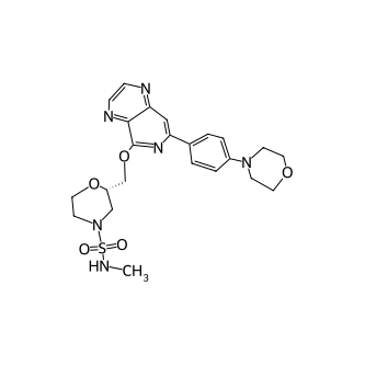 CNS(=O)(=O)N1CCO[C@H](COc2nc(-c3ccc(N4CCOCC4)cc3)cc3nccnc23)C1